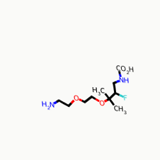 CC(C)(OCCOCCN)C(F)CNC(=O)O